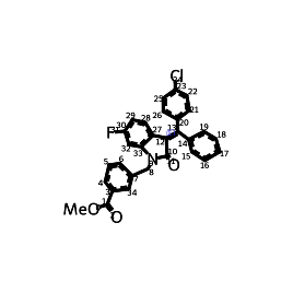 COC(=O)c1cccc(CN2C(=O)/C(=C(\c3ccccc3)c3ccc(Cl)cc3)c3ccc(F)cc32)c1